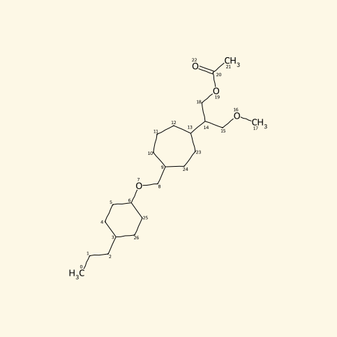 CCCC1CCC(OCC2CCCC(C(COC)COC(C)=O)CC2)CC1